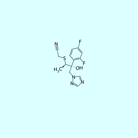 C[C@@H](SCC#N)[C@](O)(Cn1cncn1)c1ccc(F)cc1F